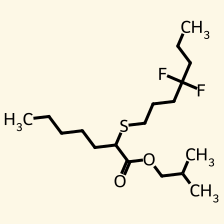 CCCCCC(SCCCC(F)(F)CCC)C(=O)OCC(C)C